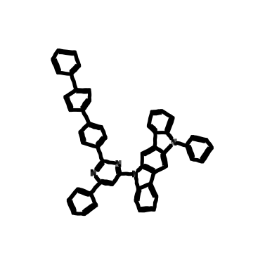 c1ccc(-c2ccc(-c3ccc(-c4nc(-c5ccccc5)cc(-n5c6ccccc6c6cc7c(cc65)c5ccccc5n7-c5ccccc5)n4)cc3)cc2)cc1